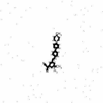 CN1CCN(c2ccc(-c3ccc(C=CC4=CC(=C(C#N)C#N)CC(C)(C)C4)cc3)cc2)CC1